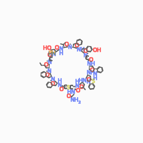 CCCC[C@H]1C(=O)N(C)CC(=O)N[C@@H](CC(O)=P)C(=O)N[C@@H](C(C)C)C(=O)N(C)[C@@H](Cc2ccccc2)C(=O)N[C@@H](Cc2ccc(O)cc2)C(=O)N(C)CC(=O)N[C@@H](Cc2c[nH]c3ccccc23)C(=O)N[C@@H](Cc2nc3ccccc3s2)C(=O)N[C@@H](CC(C)C)C(=O)N[C@H](C(=O)NCC(N)=O)CSCC(=O)N[C@@H](Cc2ccccc2)C(=O)N(C)[C@@H](Cc2ccccc2)C(=O)N1C